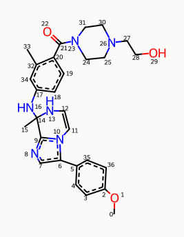 COc1ccc(-c2cnc3n2C=CNC3(C)Nc2ccc(C(=O)N3CCN(CCO)CC3)c(C)c2)cc1